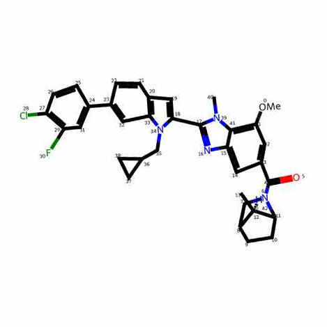 COc1cc(C(=O)N2CC3CCC2[C@@H]3C)cc2nc(-c3cc4ccc(-c5ccc(Cl)c(F)c5)cc4n3CC3CC3)n(C)c12